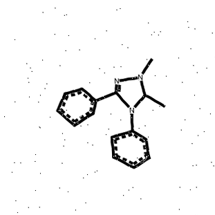 CC1N(C)N=C(c2ccccc2)N1c1ccccc1